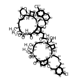 C[C@@H]1[C@@H](C)C/C=C/[C@]2(COCCO2)[C@@H]2CC[C@H]2CN2C[C@@]3(CCCc4cc(Cl)ccc43)COc3c(CC(=O)N[C@@]4(CO)CCC[C@H](C)[C@@H](C)S(=O)(=O)NC(=O)c5ccc6c(c5)N(CCCCc5cc(Cl)ccc5CO6)C[C@@H]5CC[C@H]54)cc(cc32)C(=O)NS1(=O)=O